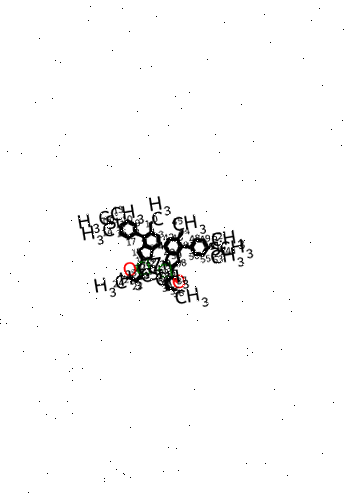 CCc1ccc2c(c1-c1ccc([Si](C)(C)C)cc1)C=C(c1ccc(C)o1)[CH]2[Zr]([Cl])([Cl])([CH]1C(c2ccc(C)o2)=Cc2c1ccc(CC)c2-c1ccc([Si](C)(C)C)cc1)=[Si](C)C